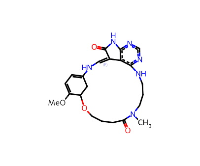 COC1=CC=C2CC1OCCCC(=O)N(C)CCCNc1ncnc3c1/C(=C\N2)C(=O)N3